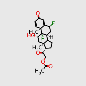 CC(=O)OCC(=O)[C@H]1CCC2[C@@H]3C[C@H](F)C4=CC(=O)C=C[C@]4(C)C3(F)[C@@H](O)C[C@@]21C